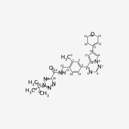 Cc1cc(-c2ncnn3cc(C4=CCOCC4)cc23)ccc1CNC(=O)c1nnn(C(C)(C)C)n1